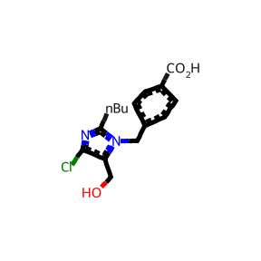 CCCCc1nc(Cl)c(CO)n1Cc1ccc(C(=O)O)cc1